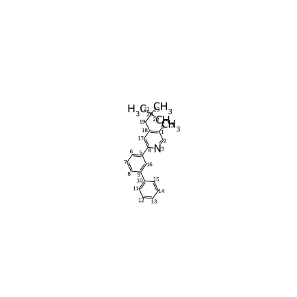 Cc1cnc(-c2cccc(-c3ccccc3)c2)cc1CC(C)(C)C